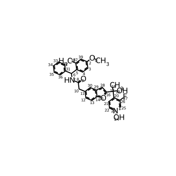 COc1ccc(C(NC(=O)Cc2ccc3oc(C(C)(O)c4cc[n+](O)cc4F)cc3c2)c2ccccc2)c(C)c1